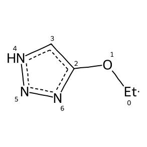 C[CH]Oc1c[nH]nn1